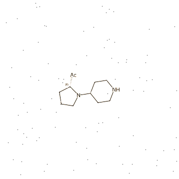 CC(=O)[C@H]1CCCN1C1CCNCC1